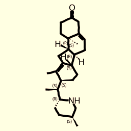 CC1=C2C[C@H]3[C@@H](CC=C4CC(=O)CC[C@@]43C)[C@@H]2CC[C@H]1[C@H](C)[C@H]1CC[C@H](C)CN1